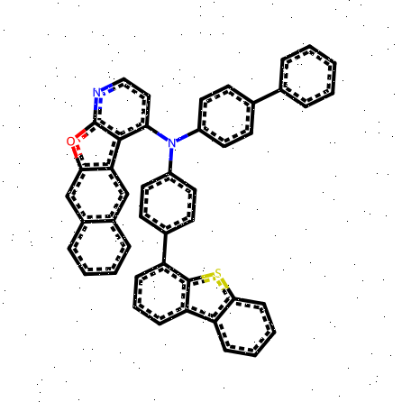 c1ccc(-c2ccc(N(c3ccc(-c4cccc5c4sc4ccccc45)cc3)c3ccnc4oc5cc6ccccc6cc5c34)cc2)cc1